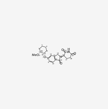 CO[C@@H]1CCCC[C@@H]1Oc1ccc2c(c1)CN(C1CCC(=O)NC1=O)C2=O